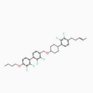 C/C=C/CCc1ccc(C2CCC(OCc3ccc(-c4ccc(OCCCC)c(F)c4F)c(F)c3F)CC2)c(F)c1F